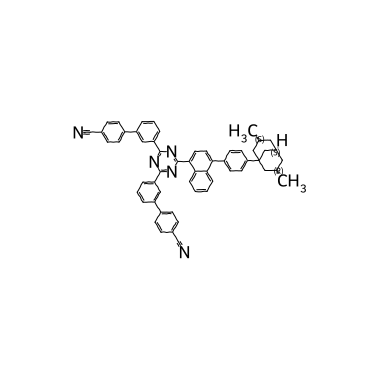 C[C@@H]1C[C@@H]2C[C@H](C)CC(c3ccc(-c4ccc(-c5nc(-c6cccc(-c7ccc(C#N)cc7)c6)nc(-c6cccc(-c7ccc(C#N)cc7)c6)n5)c5ccccc45)cc3)(C1)C2